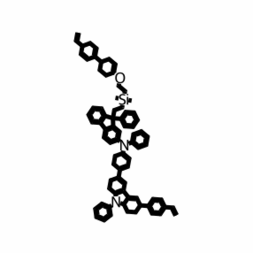 C=Cc1ccc(C2C=C3C4=C(CCC(C5=CC=C(N(c6ccccc6)c6ccc7c(c6)C(CC[Si](C)(C)CCOC6=CCC(C8=CCC(C=C)C=C8)CC6)(c6ccccc6)c6ccccc6-7)CC5)=C4)N(c4ccccc4)C3CC2)cc1